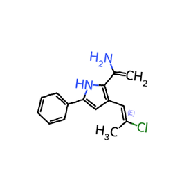 C=C(N)c1[nH]c(-c2ccccc2)cc1/C=C(\C)Cl